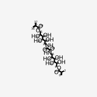 C=C(C)C(=O)OCC(O)C(O)C(O)C(O)CNC(=O)C(=O)NCC(O)C(O)C(O)C(O)COC(=O)C(=C)C